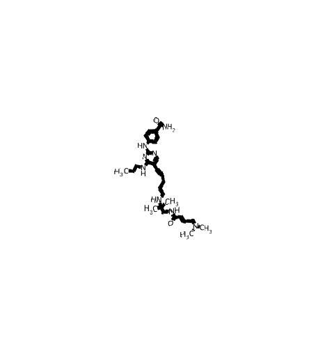 CCCNc1nc(Nc2ccc(C(N)=O)cc2)ncc1C#CCCCNC(C)(C)CNC(=O)/C=C/CN(C)C